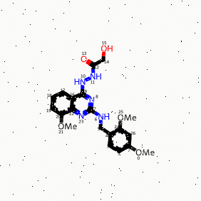 COc1ccc(CNc2nc(NNC(=O)CO)c3cccc(OC)c3n2)c(OC)c1